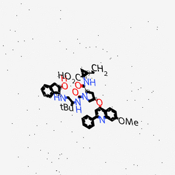 C=C[C@@H]1C[C@]1(NC(=O)[C@@H]1C[C@@H](Oc2cc(-c3ccccc3)nc3cc(OC)ccc23)CN1C(=O)NC(CN[C@H]1c2ccccc2C[C@H]1O)C(C)(C)C)C(=O)O